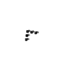 [O-2].[O-2].[O-2].[U+6].[U+6]